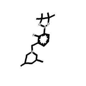 CC1CC(C)CN([C]c2cccc(B3OC(C)(C)C(C)(C)O3)c2F)C1